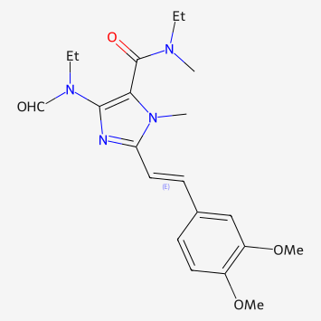 CCN(C)C(=O)c1c(N(C=O)CC)nc(/C=C/c2ccc(OC)c(OC)c2)n1C